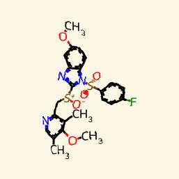 COc1ccc2c(c1)nc([S+]([O-])Cc1ncc(C)c(OC)c1C)n2S(=O)(=O)c1ccc(F)cc1